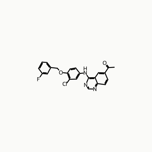 CC(=O)c1ccc2ncnc(Nc3ccc(OCc4cccc(F)c4)c(Cl)c3)c2c1